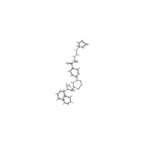 CC(NC1CCCC(c2ccc(C(=O)NCCCn3ccnc3)cc2)C1)c1cccc2ccccc12